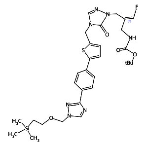 CC(C)(C)OC(=O)NC/C(=C/F)Cn1ncn(Cc2ccc(-c3ccc(-c4ncn(COCC[Si](C)(C)C)n4)cc3)s2)c1=O